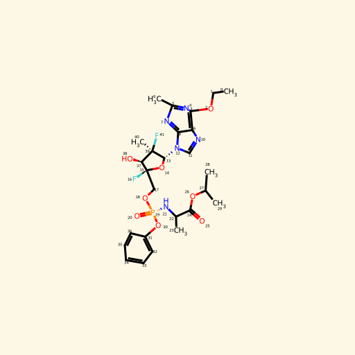 CCOc1nc(C)nc2c1ncn2[C@@H]1O[C@](F)(CO[P@@](=O)(NC(C)C(=O)OC(C)C)Oc2ccccc2)[C@@H](O)[C@@]1(C)F